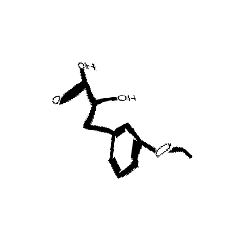 COc1cccc(CC(O)C(=O)O)c1